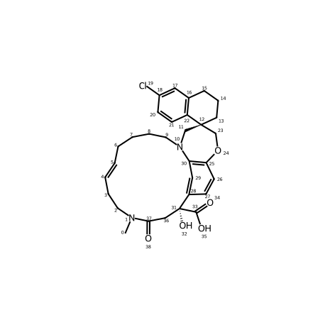 CN1CC/C=C/CCCCN2C[C@@]3(CCCc4cc(Cl)ccc43)COc3ccc(cc32)[C@@](O)(C(=O)O)CC1=O